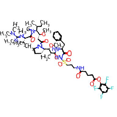 CC[C@H](C)[C@@H]([C@@H](CC(=O)N1CCC[C@H]1[C@H](OC)[C@@H](C)C(=O)N[C@@H](Cc1ccccc1)C(=O)NS(=O)(=O)CCCNC(=O)CCCC(=O)Oc1c(F)c(F)cc(F)c1F)OC)N(C)C(=O)[C@@H](N=C(N(C)C)N(C)C)C(C)C